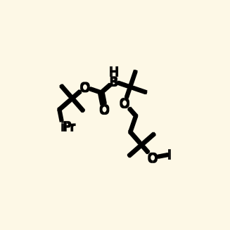 CC(C)CC(C)(C)OC(=O)BC(C)(C)OCCC(C)(C)OI